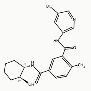 Cc1ccc(C(=O)N[C@H]2CCCC[C@@H]2O)cc1C(=O)Nc1cncc(Br)c1